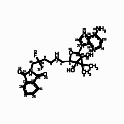 CC1(C)[C@]2(O)[C@@H](CNCCC(F)(F)CN3C(=O)c4ccccc4C3=O)O[C@@H](n3cnc4c(N)ncnc43)[C@]12O